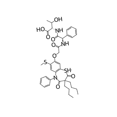 CCCCC1(CCCC)C(=O)[SH]c2cc(OCC(=O)N[C@@H](C(=O)N[C@H](C(=O)O)C(C)O)c3ccccc3)c(SC)cc2N(c2ccccc2)C1=O